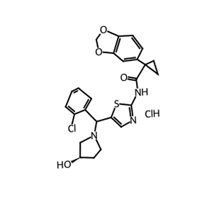 Cl.O=C(Nc1ncc(C(c2ccccc2Cl)N2CC[C@@H](O)C2)s1)C1(c2ccc3c(c2)OCO3)CC1